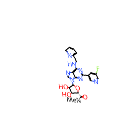 CNC(=O)[C@H]1OC(n2cnc3c(NCc4ccccn4)nc(-c4cncc(F)c4)nc32)C(O)C1O